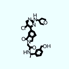 C[C@@H](NC(=O)CN1Cc2ccc(-c3nc(NC4CCOCC4)ncc3Cl)cc2C1=O)c1cccc(CO)c1